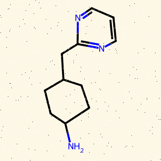 NC1CCC(Cc2ncccn2)CC1